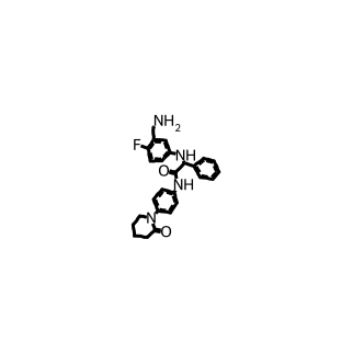 NCc1cc(NC(C(=O)Nc2ccc(N3CCCCC3=O)cc2)c2ccccc2)ccc1F